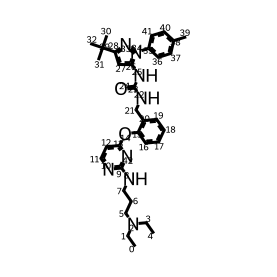 CCN(CC)CCCNc1nccc(Oc2ccccc2CNC(=O)Nc2cc(C(C)(C)C)nn2-c2ccc(C)cc2)n1